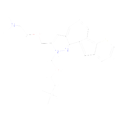 CN(C)CCOCC1=Cc2cccc3c(cc4cccsc43)c2=NN1COCC[Si](C)(C)C